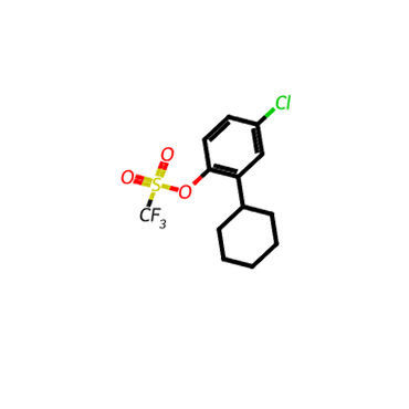 O=S(=O)(Oc1ccc(Cl)cc1C1CCCCC1)C(F)(F)F